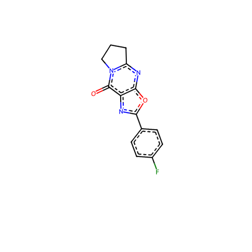 O=c1c2nc(-c3ccc(F)cc3)oc2nc2n1CCC2